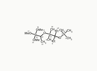 CCC(CC)(O[Si](C)(C)C)[Si](C)(C)OC(C)[Si](OC)(OC)OC